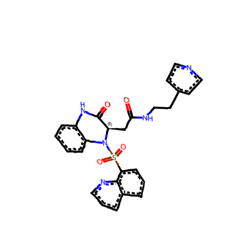 O=C(C[C@@H]1C(=O)Nc2ccccc2N1S(=O)(=O)c1cccc2cccnc12)NCCc1ccncc1